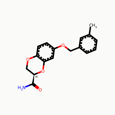 Cc1cccc(COc2ccc3c(c2)O[C@@H](C(N)=O)CO3)c1